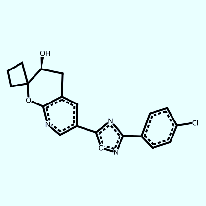 O[C@H]1Cc2cc(-c3nc(-c4ccc(Cl)cc4)no3)cnc2OC12CCC2